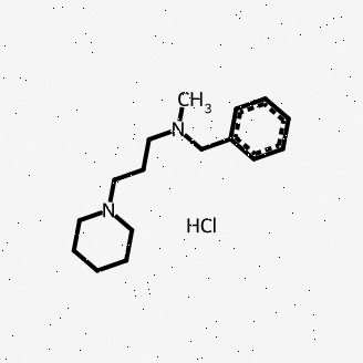 CN(CCCN1CCCCC1)Cc1ccccc1.Cl